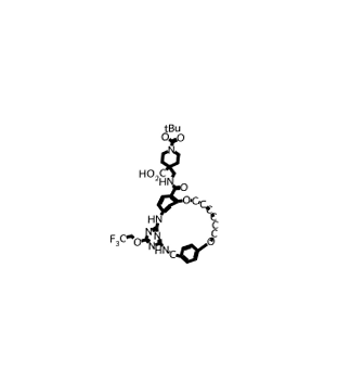 CC(C)(C)OC(=O)N1CCC(CNC(=O)c2ccc3cc2OCCCCCCOc2ccc(cc2)CNc2nc(nc(OCC(F)(F)F)n2)N3)(C(=O)O)CC1